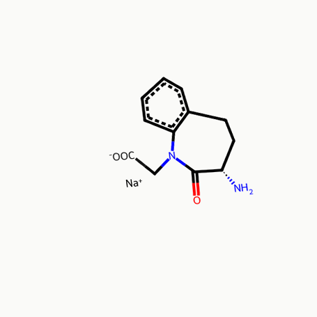 N[C@H]1CCc2ccccc2N(CC(=O)[O-])C1=O.[Na+]